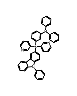 c1ccc(N(c2ccccc2)c2cccc(S(c3cccnc3)(c3cccnc3)c3ccc4c(c3)c3ccccc3n4-c3ccccc3)c2)cc1